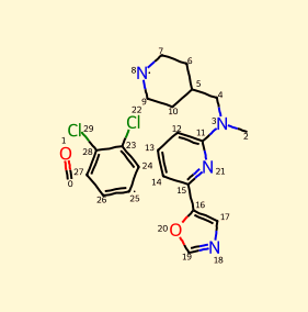 C=O.CN(CC1CC[N]CC1)c1cccc(-c2cnco2)n1.Clc1c[c]ccc1Cl